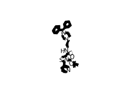 CC(C)(C)OC(=O)N1C(C(=O)NCCCN2CCN(C(c3ccccc3)c3ccccc3)CC2)CSC1c1cccnc1